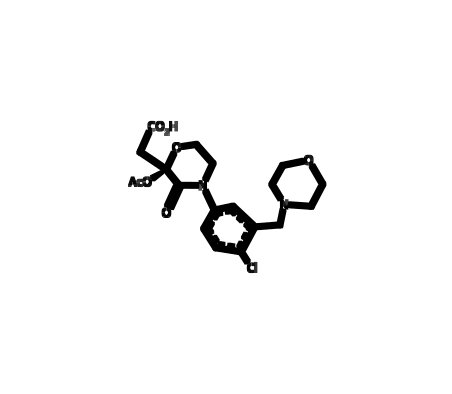 CC(=O)O[C@@]1(CC(=O)O)OCCN(c2ccc(Cl)c(CN3CCOCC3)c2)C1=O